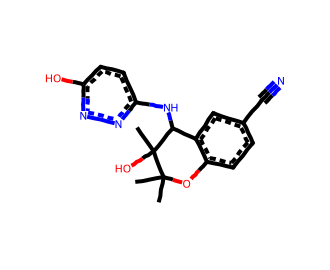 CC1(C)Oc2ccc(C#N)cc2C(Nc2ccc(O)nn2)C1(C)O